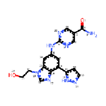 NC(=O)c1cnc(Nc2cc(-c3ccn[nH]3)c3ncn(CCO)c3c2)nc1